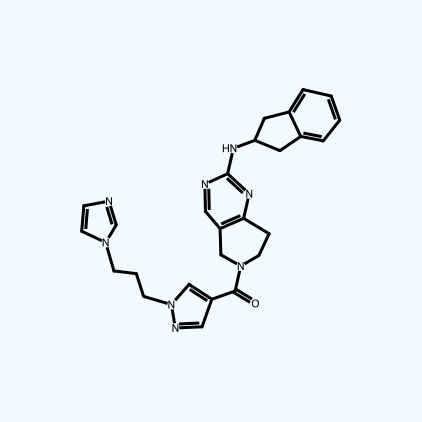 O=C(c1cnn(CCCn2ccnc2)c1)N1CCc2nc(NC3Cc4ccccc4C3)ncc2C1